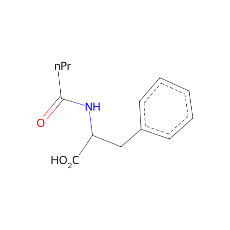 CCCC(=O)NC(Cc1ccccc1)C(=O)O